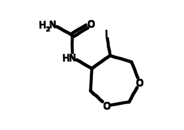 NC(=O)NC1COCOCC1I